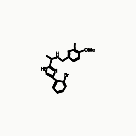 COc1ccc(CNC(C)c2nc(-c3ccccc3Br)c[nH]2)cc1C